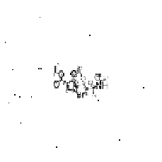 CCOC(=O)c1cnn(CC(Br)C(C)(C)NC(C)=O)c1OC(C)C